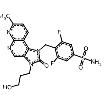 Cc1ccc2c(ncc3c2n(Cc2c(F)cc(S(N)(=O)=O)cc2F)c(=O)n3CCCO)n1